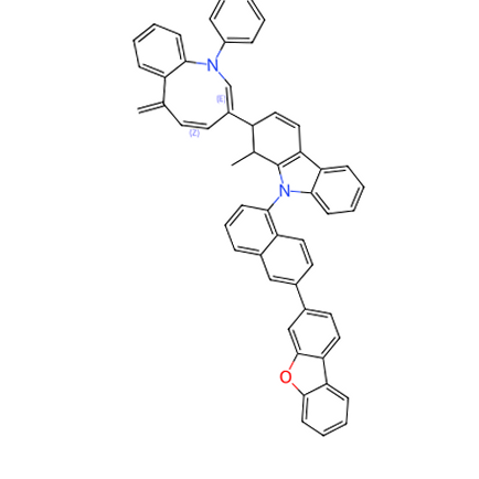 C=C1/C=C\C(C2C=Cc3c(n(-c4cccc5cc(-c6ccc7c(c6)oc6ccccc67)ccc45)c4ccccc34)C2C)=C/N(c2ccccc2)c2ccccc21